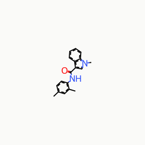 Cc1ccc(NC(=O)c2cn(C)c3ccccc23)c(C)c1